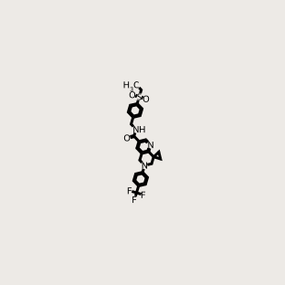 CCS(=O)(=O)c1ccc(CNC(=O)c2cnc3c(c2)CN(c2ccc(C(F)(F)F)cc2)CC32CC2)cc1